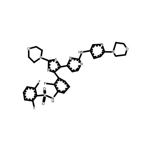 O=S(=O)(Nc1cccc(-c2nc(N3CCOCC3)sc2-c2ccnc(Nc3ccc(N4CCOCC4)nc3)n2)c1F)c1c(F)cccc1F